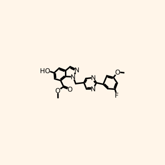 COC(=O)c1cc(O)cc2cnn(Cc3cnc(-c4cc(F)cc(OC)c4)nc3)c12